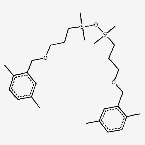 Cc1ccc(C)c(COCCC[Si](C)(C)O[Si](C)(C)CCCOCc2cc(C)ccc2C)c1